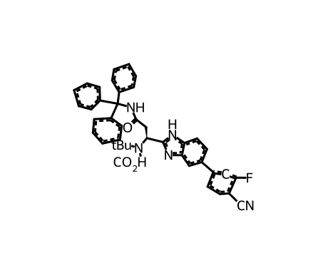 CC(C)(C)N(C(=O)O)[C@@H](CC(=O)NC(c1ccccc1)(c1ccccc1)c1ccccc1)c1nc2cc(-c3ccc(C#N)c(F)c3)ccc2[nH]1